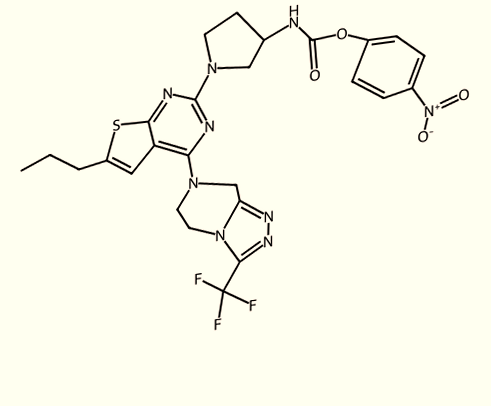 CCCc1cc2c(N3CCn4c(nnc4C(F)(F)F)C3)nc(N3CCC(NC(=O)Oc4ccc([N+](=O)[O-])cc4)C3)nc2s1